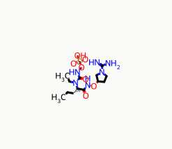 CCC[C@@H](C(=O)NOC1CCN(C(=N)N)C1)N(CC)C(=O)NOS(=O)(=O)O